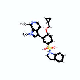 COc1nccc2c(-c3cc(S(=O)(=O)N4CCc5ccccc54)ccc3OCC3CC3)cn(C)c12